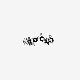 BC1(B)Oc2ccc(O[C@H]3CCN(c4nn5c(=O)ccnc5c(C)c4C)C[C@@H]3F)cc2OC1(B)B